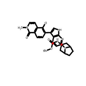 Cn1ccc2c(Cl)c(-c3c[nH]c4nc(N5C6CCC5CC(NC(=O)OC(C)(C)C)C6)cnc34)ccc2c1=O